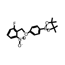 CC1(C)OB(c2ccc(OCc3c(F)cccc3[N+](=O)[O-])cc2)OC1(C)C